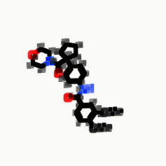 COc1ccc(C(=O)Nc2ccc(C3(C(=O)N4CCOCC4)CCCC3)cc2)cc1OC